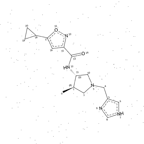 C[C@@H]1CN(Cc2c[nH]cn2)C[C@H]1NC(=O)c1cc(C2CC2)on1